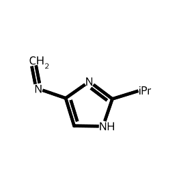 C=Nc1c[nH]c(C(C)C)n1